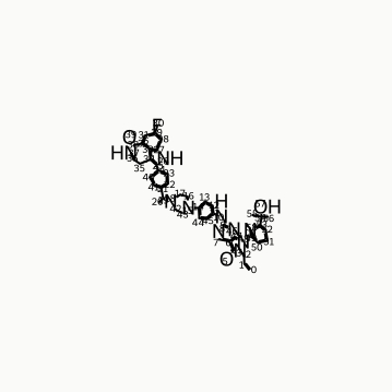 C=CCn1c(=O)c2cnc(Nc3ccc(N4CCN(C(C)c5ccc(-c6[nH]c7cc(F)cc8c7c6CCNC8=O)cc5)CC4)cc3)nc2n1-c1cccc(C(C)(C)O)n1